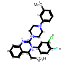 COc1cccc(N2CCN(C3=Nc4ccccc4C(CC(=O)O)N3c3ccc(F)c(Cl)c3)CC2)c1